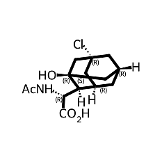 CC(=O)N[C@@H](C(=O)O)[C@@H]1[C@@H]2C[C@H]3C[C@@](Cl)(C2)C[C@]1(O)C3